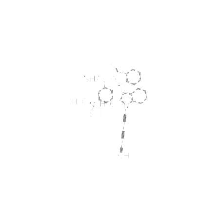 C#CC#CC#Cn1c(C)c(C2(c3ccc(N(C)C)cc3NC(C)=O)OC(=O)c3ccccc32)c2ccccc21